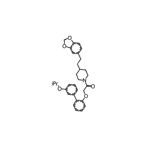 CC(C)Oc1cccc(-c2ccccc2OCC(=O)N2CCC(CCc3ccc4c(c3)OCO4)CC2)c1